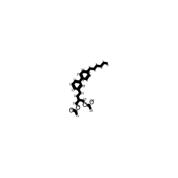 CCCCCCc1ccc(-c2cccc(CCC(COC(C)=O)COC(C)=O)c2)cc1